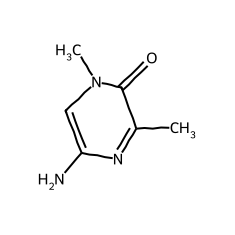 Cc1nc(N)cn(C)c1=O